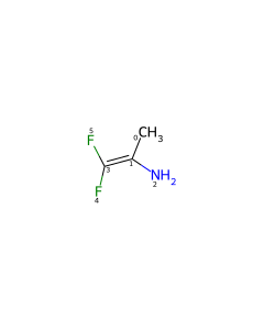 CC(N)=C(F)F